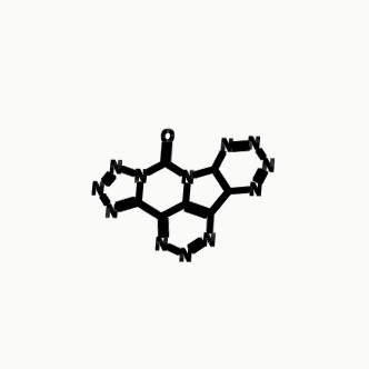 O=c1n2c3c(nnnc3c3nnnn13)C1N=NN=NC12